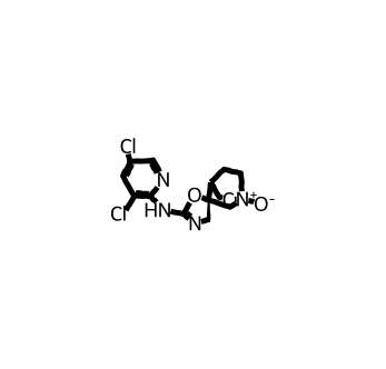 [O-][N+]12CCC(CC1)[C@]1(CN=C(Nc3ncc(Cl)cc3Cl)O1)C2